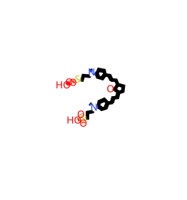 CN(CCCSOOO)c1ccc(C=CCC2CCC(=CC=Cc3ccc(N(C)CCCS(=O)(=O)O)cc3)C2=O)cc1